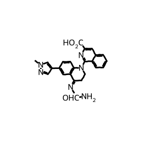 CN=C1CCN(c2nc(C(=O)O)cc3ccccc23)c2ccc(-c3cnn(C)c3)cc21.NC=O